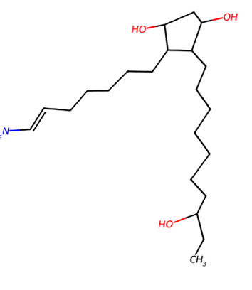 CCC(O)CCCCCCCC1C(O)CC(O)C1CCCCCC=CN